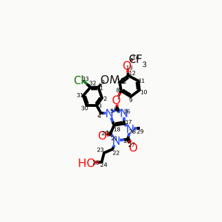 COc1cc(Cn2c(Oc3cccc(OC(F)(F)F)c3)nc3c2c(=O)n(CCCO)c(=O)n3C)ccc1Cl